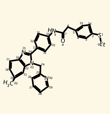 CCSc1ccc(CC(=O)Nc2ccc(-c3nc4ccc(C)cc4n3Cc3ccccn3)cc2)cc1